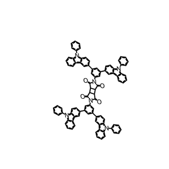 O=C1C2C(C(=O)N1c1cc(-c3ccc4c(c3)c3ccccc3n4-c3ccccc3)cc(-c3ccc4c(c3)c3ccccc3n4-c3ccccc3)c1)C1C(=O)N(c3cc(-c4ccc5c(c4)c4ccccc4n5-c4ccccc4)cc(-c4ccc5c(c4)c4ccccc4n5-c4ccccc4)c3)C(=O)C21